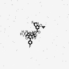 CC1(C(N)=O)COc2c1cc(C(O)(CNC(=O)c1cc(OC3CC3)c3ncc(F)cc3c1)C(F)(F)F)nc2-c1ccc(F)cc1